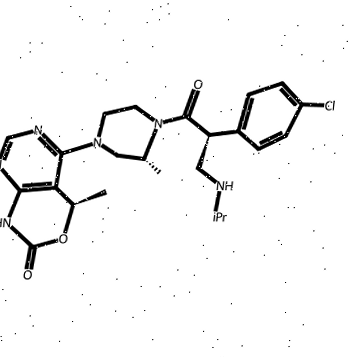 CC(C)NC[C@@H](C(=O)N1CCN(c2ncnc3c2[C@@H](C)OC(=O)N3)C[C@H]1C)c1ccc(Cl)cc1